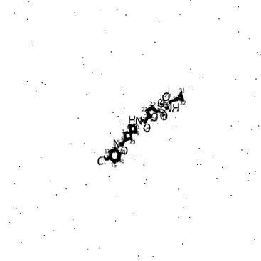 O=C(NC1CC2(C1)CC(c1nc3cc(Cl)ccc3o1)C2)c1ccc(S(=O)(=O)NC(=O)C2CC2)o1